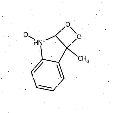 CC12OOC1[NH+]([O-])c1ccccc12